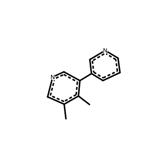 Cc1cncc(-c2cccnc2)c1C